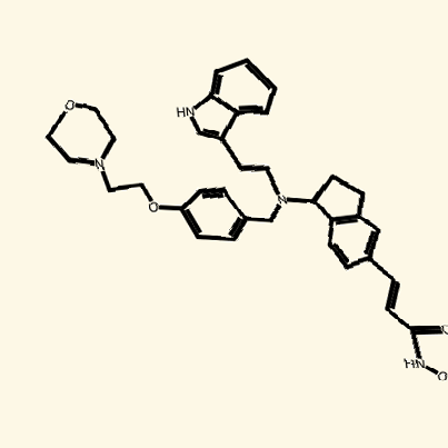 O=C(C=Cc1ccc2c(c1)CCC2N(CCc1c[nH]c2ccccc12)Cc1ccc(OCCN2CCOCC2)cc1)NO